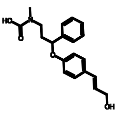 CN(CCC(Oc1ccc(/C=C/CO)cc1)c1ccccc1)C(=O)O